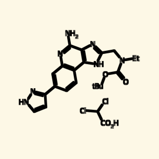 CCN(Cc1nc2c(N)nc3cc(-c4cc[nH]n4)ccc3c2[nH]1)C(=O)OC(C)(C)C.O=C(O)C(Cl)Cl